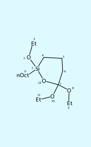 CCCCCCCC[Si]1(OCC)CCCC(OCC)(OCC)O1